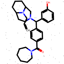 C=CCN1C2CCCC1CN(C(c1ccc(C(=O)N3CCCCCC3)cc1)c1cccc(O)c1)CC2